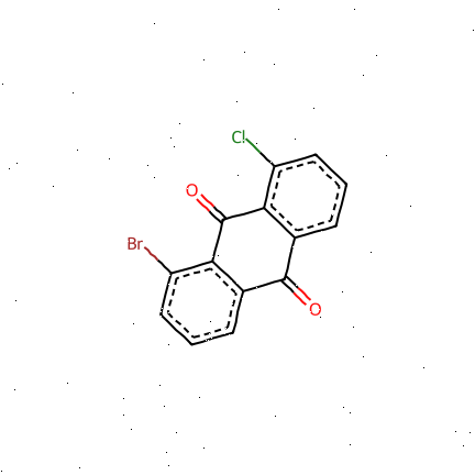 O=C1c2cccc(Cl)c2C(=O)c2c(Br)cccc21